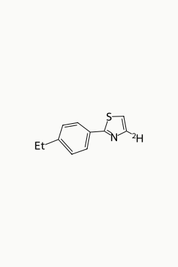 [2H]c1csc(-c2ccc(CC)cc2)n1